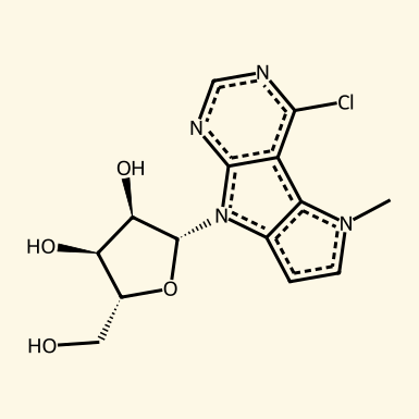 Cn1ccc2c1c1c(Cl)ncnc1n2[C@@H]1O[C@H](CO)[C@@H](O)[C@H]1O